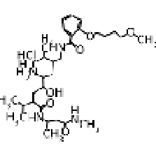 CNC(=O)CC(C)NC(=O)C(CC(O)C(N)CC(CNC(=O)c1ccccc1OCCCCOC)C(C)C)C(C)C.Cl